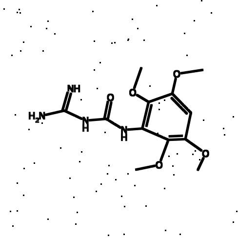 COc1cc(OC)c(OC)c(NC(=O)NC(=N)N)c1OC